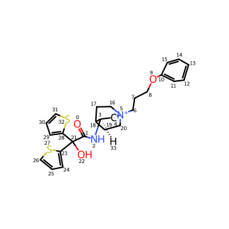 O=C(N[C@@H]1C[N+]2(CCCOc3ccccc3)CCC1CC2)C(O)(c1cccs1)c1cccs1